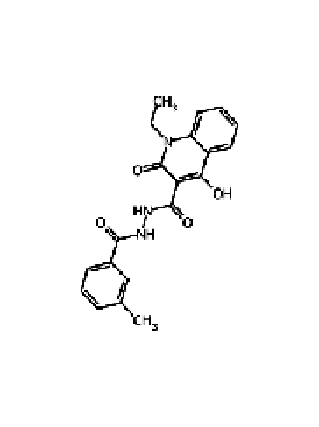 CCn1c(=O)c(C(=O)NNC(=O)c2cccc(C)c2)c(O)c2ccccc21